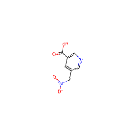 O=C(O)c1cncc(C[N+](=O)[O-])c1